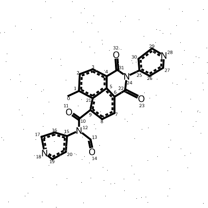 Cc1ccc2c3c(ccc(C(=O)N(C=O)c4ccncc4)c13)C(=O)N(c1ccncc1)C2=O